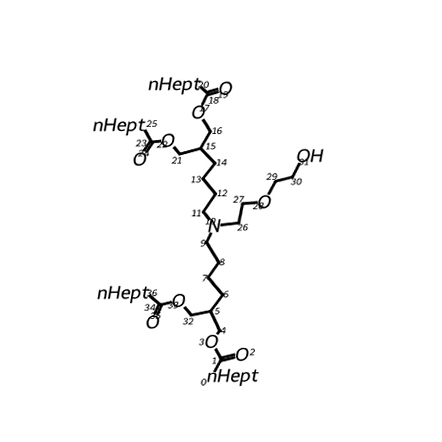 CCCCCCCC(=O)OCC(CCCCN(CCCCC(COC(=O)CCCCCCC)COC(=O)CCCCCCC)CCOCCO)COC(=O)CCCCCCC